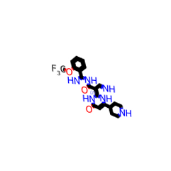 N=C/C(C(=O)NC(=N)c1ccccc1OC(F)(F)F)=C1/NC(=O)C=C(C2CCNCC2)N1